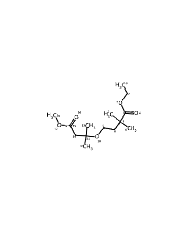 CCOC(=O)C(C)(C)CCOC(C)(C)CC(=O)OC